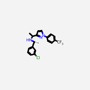 CC(N[C@H](C)c1cccc(Cl)c1)c1ccn(-c2ccc(C(F)(F)F)cc2)n1